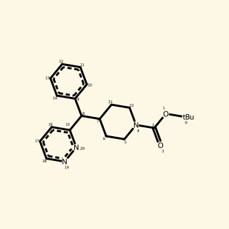 CC(C)(C)OC(=O)N1CCC(C(c2ccccc2)c2cccnn2)CC1